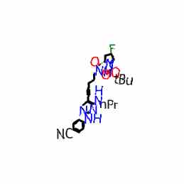 CCCNc1nc(Nc2ccc(C#N)cc2)ncc1C#CCCCNC(=O)[C@@H]1C[C@H](F)CN1C(=O)OC(C)(C)C